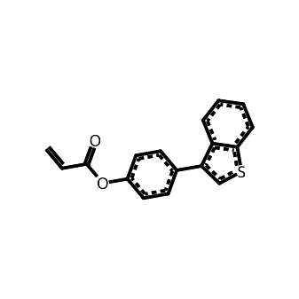 C=CC(=O)Oc1ccc(-c2csc3ccccc23)cc1